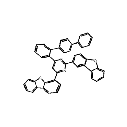 c1ccc(-c2ccc(-c3ccccc3-c3cc(-c4cccc5c4oc4ccccc45)nc(-c4ccc5oc6ccccc6c5c4)n3)cc2)cc1